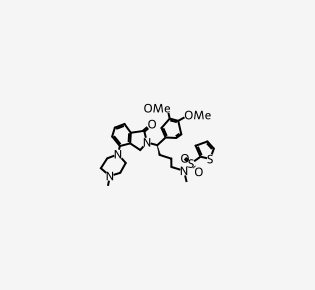 COc1ccc([C@@H](CCCN(C)S(=O)(=O)c2cccs2)N2Cc3c(cccc3N3CCN(C)CC3)C2=O)cc1OC